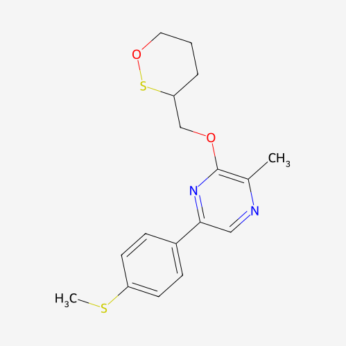 CSc1ccc(-c2cnc(C)c(OCC3CCCOS3)n2)cc1